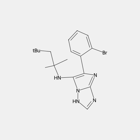 CC(C)(C)CC(C)(C)Nc1c(-c2ccccc2Br)nc2nc[nH]n12